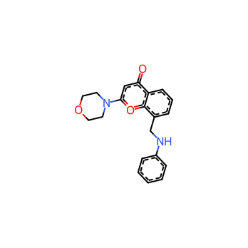 O=c1cc(N2CCOCC2)oc2c(CNc3ccccc3)cccc12